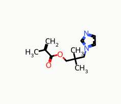 C=C(C)C(=O)OCC(C)(C)Cn1ccnc1